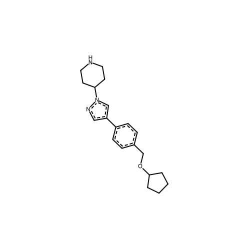 c1cc(-c2cnn(C3CCNCC3)c2)ccc1COC1CCCC1